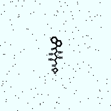 C1COO1.O=C(c1cccc2ccccc12)[C@H](O)[C@@H](O)[C@@H](O)[C@H](O)CO